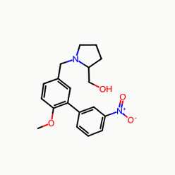 COc1ccc(CN2CCCC2CO)cc1-c1cccc([N+](=O)[O-])c1